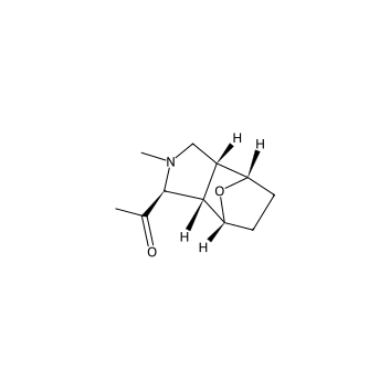 CC(=O)[C@@H]1[C@@H]2[C@H](CN1C)[C@@H]1CC[C@H]2O1